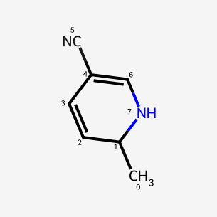 CC1C=CC(C#N)=CN1